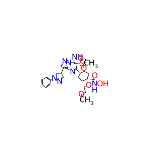 COCCO[C@]1(C(=O)NO)CC[C@@H](c2nc3c(-c4cnn(-c5ccccc5)c4)cnn3c(N)c2S(C)(=O)=O)CC1